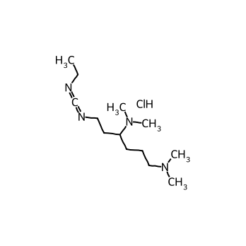 CCN=C=NCCC(CCCN(C)C)N(C)C.Cl